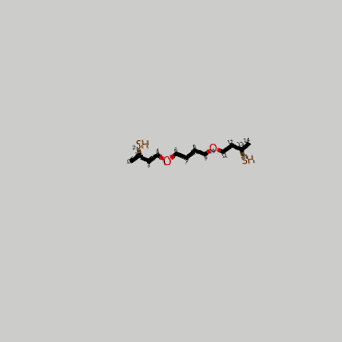 CC(S)CCOCCCCOCCC(C)S